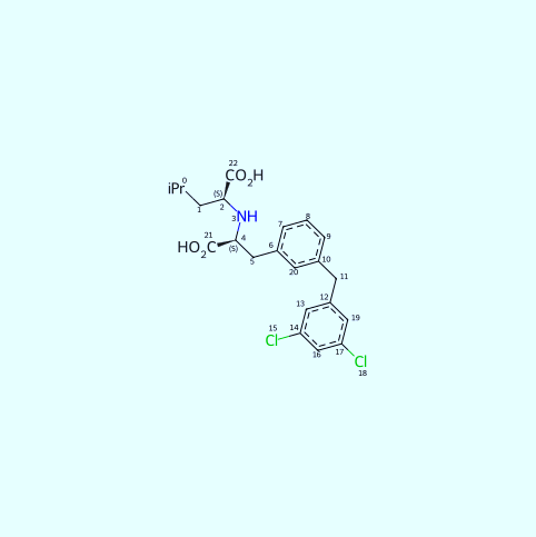 CC(C)C[C@H](N[C@@H](Cc1cccc(Cc2cc(Cl)cc(Cl)c2)c1)C(=O)O)C(=O)O